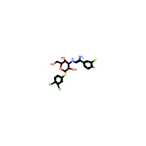 N/C(=C\NC1C(O)C(CO)OC(Sc2ccc(Cl)c(Cl)c2)C1O)c1ccc(F)c(F)c1